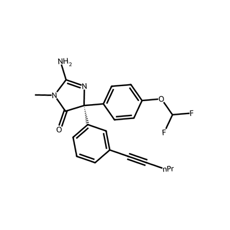 CCCC#Cc1cccc([C@@]2(c3ccc(OC(F)F)cc3)N=C(N)N(C)C2=O)c1